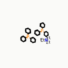 CCN(CC)CC.c1ccc(P(c2ccccc2)c2ccccc2)cc1.c1ccc(P(c2ccccc2)c2ccccc2)cc1